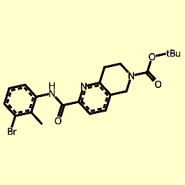 Cc1c(Br)cccc1NC(=O)c1ccc2c(n1)CCN(C(=O)OC(C)(C)C)C2